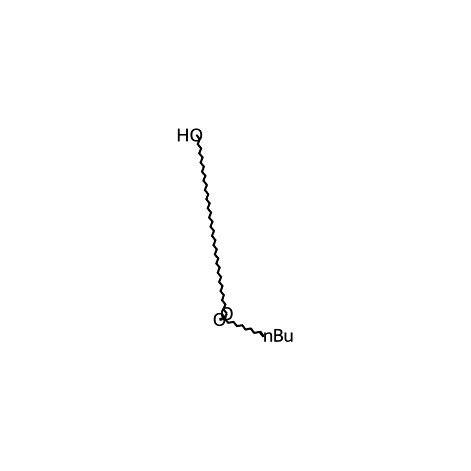 CCCCC=CCCCCCCCC(=O)OCCCCCCCCCCCCCCCCCCCCCCCCCCCCCCCCCCCCCCO